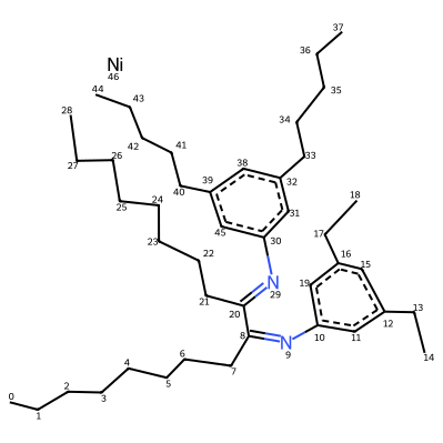 CCCCCCCCC(=Nc1cc(CC)cc(CC)c1)C(CCCCCCCC)=Nc1cc(CCCCC)cc(CCCCC)c1.[Ni]